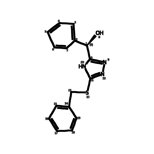 O[C@H](c1ccccc1)c1nnc(SCc2ccccc2)[nH]1